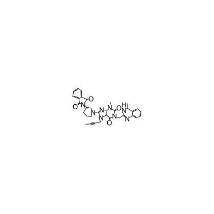 CC#CCn1c(N2CCC[C@H](N3C(=O)c4ccccc4C3=O)C2)nc2c1c(=O)n(CC1=Nc3ccccc3C(C)N1)c(=O)n2C